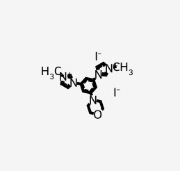 C[n+]1ccn(-c2cc(N3CCOCC3)cc(-n3cc[n+](C)c3)c2)c1.[I-].[I-]